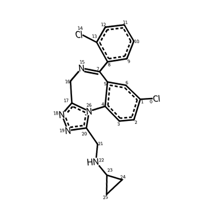 Clc1ccc2c(c1)C(c1ccccc1Cl)=NCc1nnc(CNC3CC3)n1-2